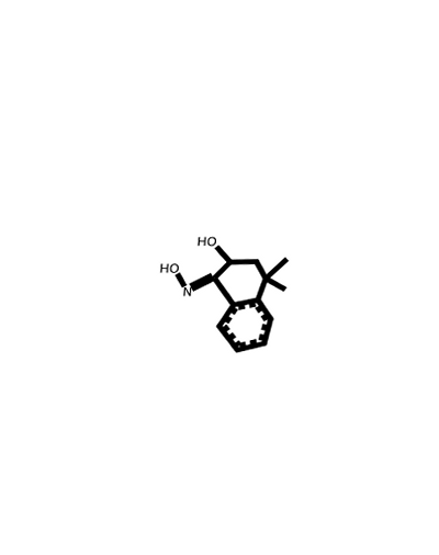 CC1(C)CC(O)/C(=N\O)c2ccccc21